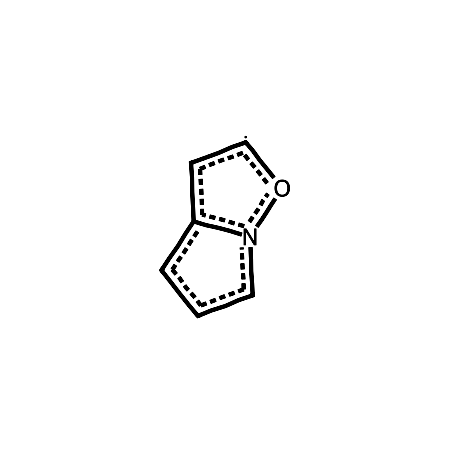 [c]1cc2cccn2o1